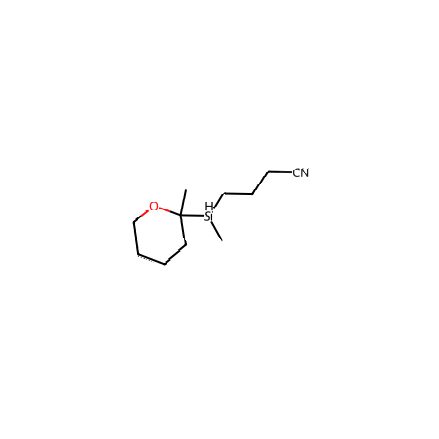 C[SiH](CCCC#N)C1(C)CCCCO1